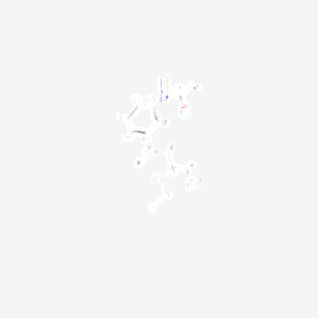 CCOC(C=O)CN(C)c1cccc(NC(C)=O)c1